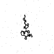 CCON=CC1=NC(C(=O)N2CCCC2C(N)=O)CO1